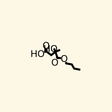 CCCCOC(=O)C(C)(O)CC(=O)O